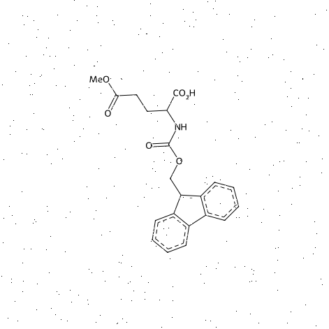 COC(=O)CCC(NC(=O)OCC1c2ccccc2-c2ccccc21)C(=O)O